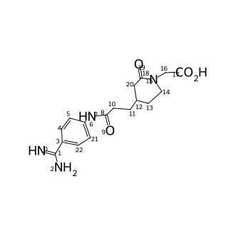 N=C(N)c1ccc(NC(=O)CCC2CCN(CC(=O)O)C(=O)C2)cc1